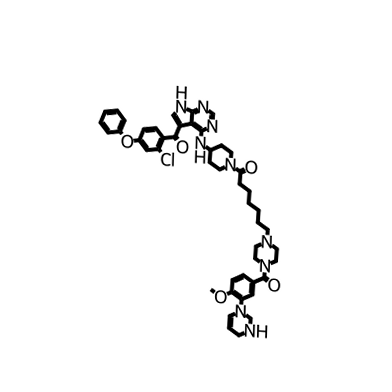 COc1ccc(C(=O)N2CCN(CCCCCCC(=O)N3CCC(Nc4ncnc5[nH]cc(C(=O)c6ccc(Oc7ccccc7)cc6Cl)c45)CC3)CC2)cc1N1C=CCNC1